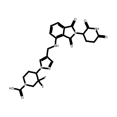 O=C1CCC(N2C(=O)c3cccc(NCc4cnn(C5CCN(C(=O)O)CC5(F)F)c4)c3C2=O)C(=O)N1